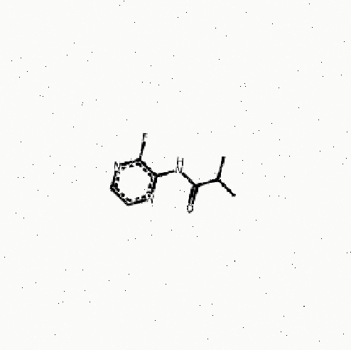 CC(C)C(=O)Nc1nccnc1F